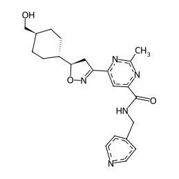 Cc1nc(C(=O)NCc2ccncc2)cc(C2=NO[C@@H]([C@H]3CC[C@H](CO)CC3)C2)n1